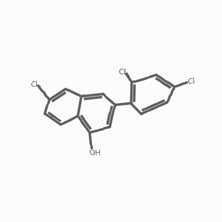 Oc1cc(-c2ccc(Cl)cc2Cl)cc2cc(Cl)ccc12